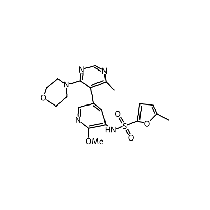 COc1ncc(-c2c(C)ncnc2N2CCOCC2)cc1NS(=O)(=O)c1ccc(C)o1